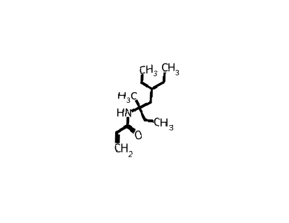 C=CC(=O)NC(C)(CC)CC(CC)CC